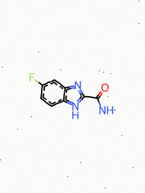 [NH]C(=O)c1nc2cc(F)ccc2[nH]1